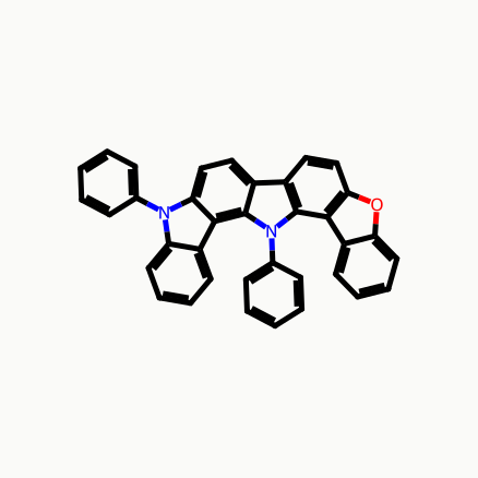 c1ccc(-n2c3ccccc3c3c2ccc2c4ccc5oc6ccccc6c5c4n(-c4ccccc4)c23)cc1